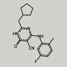 Cc1ccc(F)cc1Nc1nc(CC2CCCC2)[nH]c(=O)c1C#N